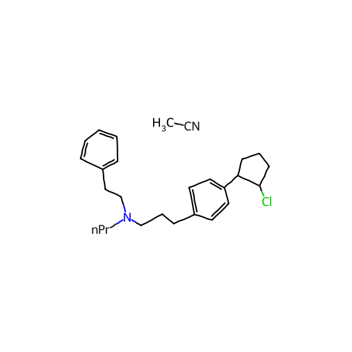 CC#N.CCCN(CCCc1ccc(C2CCCC2Cl)cc1)CCc1ccccc1